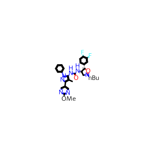 CCCCN1C[C@@H](NC(=O)Nc2c(C)c(-c3cnc(OC)nc3)nn2-c2ccccc2)[C@H](c2ccc(F)c(F)c2)O1